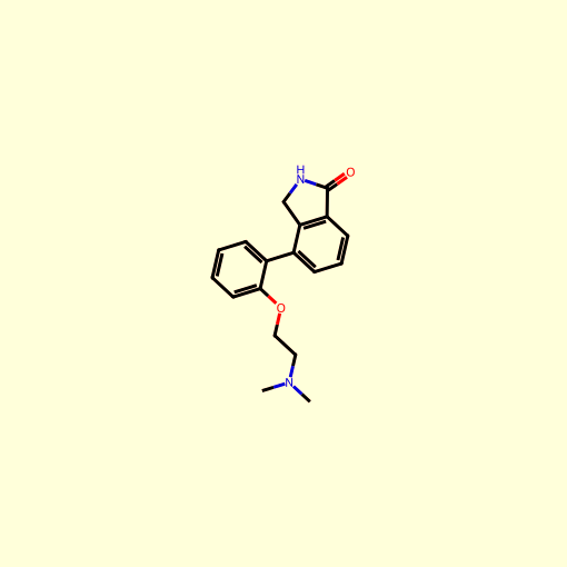 CN(C)CCOc1ccccc1-c1cccc2c1CNC2=O